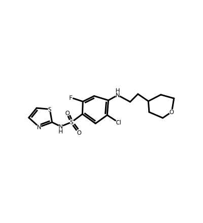 O=S(=O)(Nc1nccs1)c1cc(Cl)c(NCCC2CCOCC2)cc1F